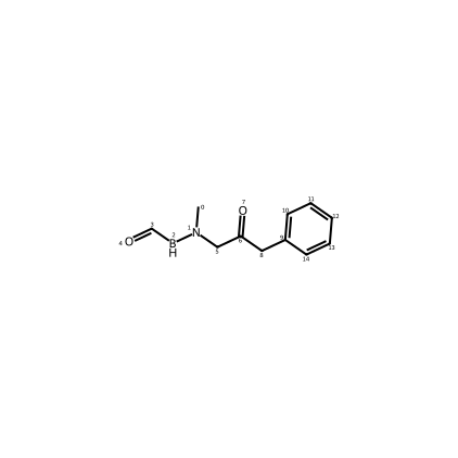 CN(BC=O)CC(=O)Cc1ccccc1